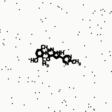 Cc1ncc(-c2cc3c(=O)n(-c4c(C)ccc(O)c4C)cnc3[nH]2)cn1